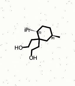 CC(C)[C@@H]1CC[C@@H](C)CC1(CCO)CCO